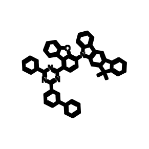 CC1(C)c2ccccc2-c2cc3c4ccccc4n(-c4ccc(-c5nc(-c6ccccc6)nc(-c6cccc(-c7ccccc7)c6)n5)c5c4oc4ccccc45)c3cc21